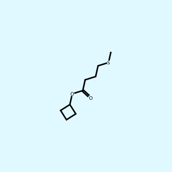 CSCCCC(=O)OC1CCC1